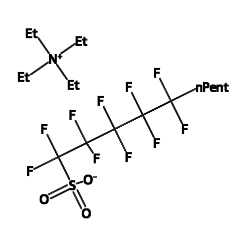 CCCCCC(F)(F)C(F)(F)C(F)(F)C(F)(F)C(F)(F)S(=O)(=O)[O-].CC[N+](CC)(CC)CC